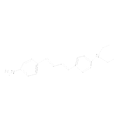 CCN(CC)c1ccc(/C=C/C=C/c2ccc(N)cc2)cc1